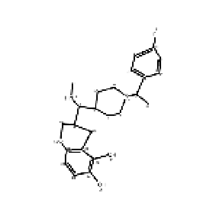 CNC(C1CCN(C(C)c2ccc(F)cc2)CC1)C1COc2ccc(O)c(O)c2C1